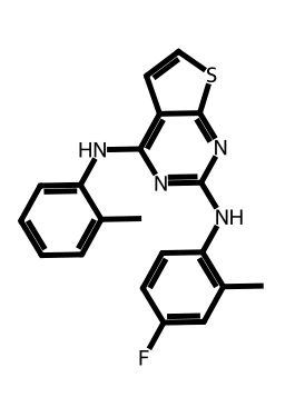 Cc1cc(F)ccc1Nc1nc(Nc2ccccc2C)c2ccsc2n1